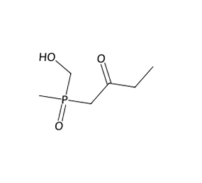 CCC(=O)CP(C)(=O)CO